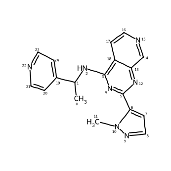 CC(Nc1nc(-c2ccnn2C)nc2cnccc12)c1ccncc1